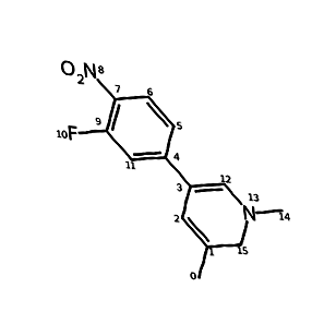 CC1=CC(c2ccc([N+](=O)[O-])c(F)c2)=CN(C)C1